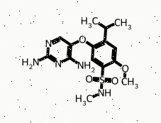 CNS(=O)(=O)c1cc(Oc2cnc(N)nc2N)c(C(C)C)cc1OC